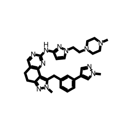 CN1CCN(CCn2ccc(Nc3ncc4c(n3)-c3c(nn(C)c3Cc3cccc(-c5cnn(C)c5)c3)CC4)n2)CC1